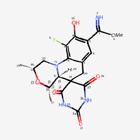 COC(=N)c1cc2c(c(F)c1O)N1C[C@@H](C)O[C@@H](C)[C@@H]1C1(C2)C(=O)NC(=O)NC1=O